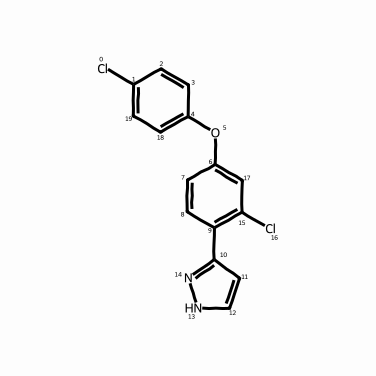 Clc1ccc(Oc2ccc(-c3cc[nH]n3)c(Cl)c2)cc1